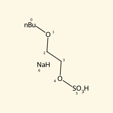 CCCCOCCOS(=O)(=O)O.[NaH]